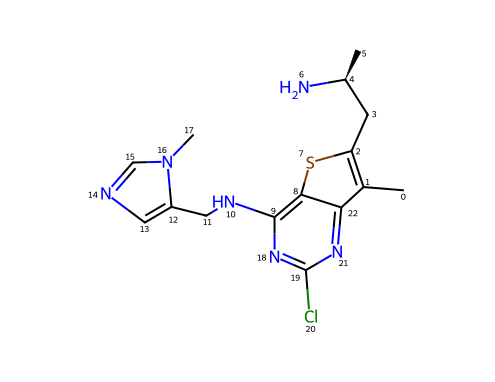 Cc1c(C[C@H](C)N)sc2c(NCc3cncn3C)nc(Cl)nc12